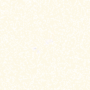 CP(=O)(Cc1ccc(-c2noc(C(F)(F)Cl)n2)cn1)Nc1ccc(F)c(F)c1